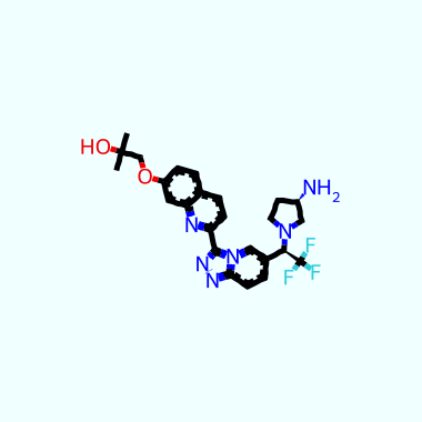 CC(C)(O)COc1ccc2ccc(-c3nnc4ccc([C@@H](N5CC[C@H](N)C5)C(F)(F)F)cn34)nc2c1